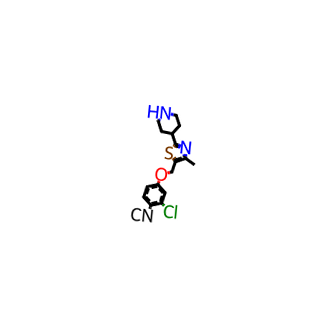 Cc1nc(C2CCNCC2)sc1COc1ccc(C#N)c(Cl)c1